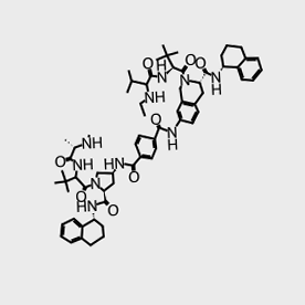 CCNC(C(=O)N[C@H](C(=O)N1Cc2cc(NC(=O)c3ccc(C(=O)N[C@H]4C[C@@H](C(=O)N[C@@H]5CCCc6ccccc65)N(C(=O)C(NC(=O)[C@H](C)NC)C(C)(C)C)C4)cc3)ccc2C[C@H]1C(=O)N[C@@H]1CCCc2ccccc21)C(C)(C)C)C(C)C